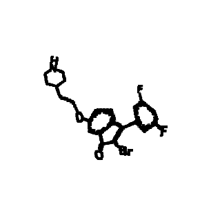 O=C1C(Br)=C(c2cc(F)cc(F)c2)c2ccc(OCCC3CCNCC3)cc21